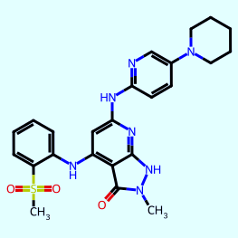 Cn1[nH]c2nc(Nc3ccc(N4CCCCC4)cn3)cc(Nc3ccccc3S(C)(=O)=O)c2c1=O